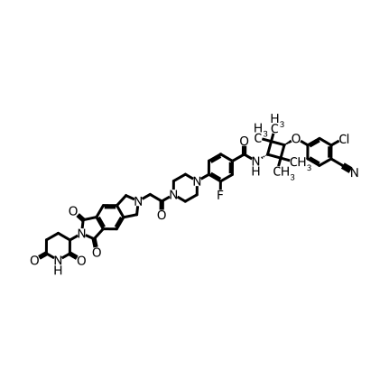 CC1(C)[C@H](NC(=O)c2ccc(N3CCN(C(=O)CN4Cc5cc6c(cc5C4)C(=O)N(C4CCC(=O)NC4=O)C6=O)CC3)c(F)c2)C(C)(C)[C@H]1Oc1ccc(C#N)c(Cl)c1